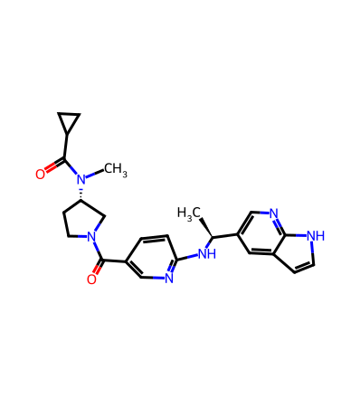 C[C@H](Nc1ccc(C(=O)N2CC[C@H](N(C)C(=O)C3CC3)C2)cn1)c1cnc2[nH]ccc2c1